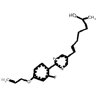 C=CCOc1ccc(-c2ncc(/C=C/CCCC(C)O)cn2)c(F)c1